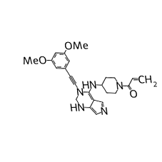 C=CC(=O)N1CCC(NC2=C3C=NC=C3NCN2C#Cc2cc(OC)cc(OC)c2)CC1